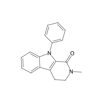 CN1CCc2c(n(-c3ccccc3)c3ccccc23)C1=O